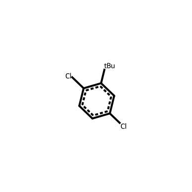 CC(C)(C)c1cc(Cl)ccc1Cl